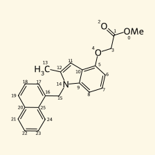 COC(=O)COc1cccc2c1cc(C)n2Cc1cccc2ccccc12